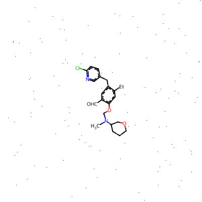 CCc1cc(OCN(C)C2CCCOC2)c(C=O)cc1Cc1ccc(Cl)nc1